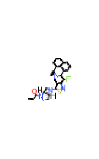 C#Cc1cccc2cccc(-c3ncc4c(N5C[C@@H]6[C@H]5CCN6C(=O)C=C)snc4c3F)c12